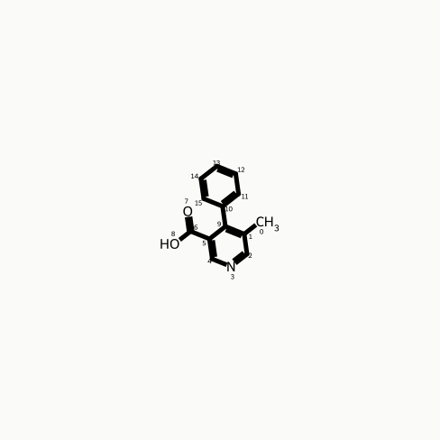 Cc1cncc(C(=O)O)c1-c1ccccc1